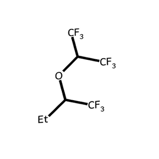 CCC(OC(C(F)(F)F)C(F)(F)F)C(F)(F)F